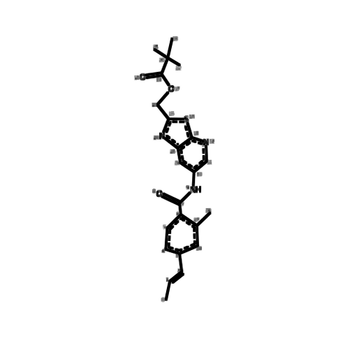 C/C=C/c1ccc(C(=O)Nc2cnc3sc(COC(=O)C(C)(C)C)nc3c2)c(C)c1